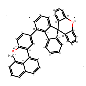 Cc1cccc2cccc(-c3cc(-c4cccc5c4-c4ccccc4C54c5ccccc5Oc5ccccc54)ccc3O)c12